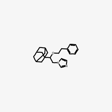 c1ccc(CCOC(Cn2ccnc2)C23CC4CC(CC(C4)C2)C3)cc1